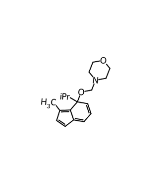 CC1=C2C(=CC=CC2(OCN2CCOCC2)C(C)C)C=C1